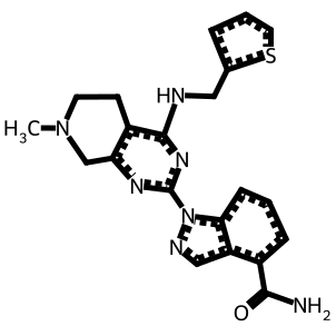 CN1CCc2c(nc(-n3ncc4c(C(N)=O)cccc43)nc2NCc2cccs2)C1